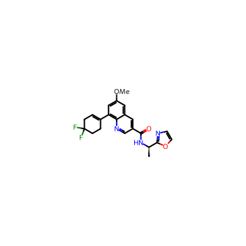 COc1cc(C2=CCC(F)(F)CC2)c2ncc(C(=O)N[C@H](C)c3ncco3)cc2c1